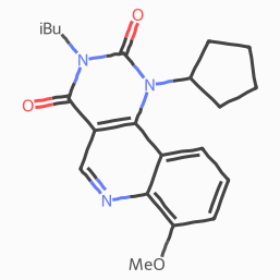 CCC(C)n1c(=O)c2cnc3c(OC)cccc3c2n(C2CCCC2)c1=O